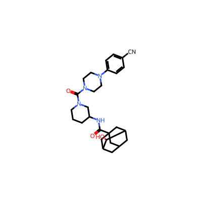 N#Cc1ccc(N2CCN(C(=O)N3CCCC(NC(=O)C45CC6CC(C4)C(O)C(C6)C5)C3)CC2)cc1